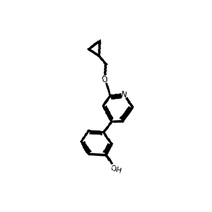 Oc1cccc(-c2ccnc(OCC3CC3)c2)c1